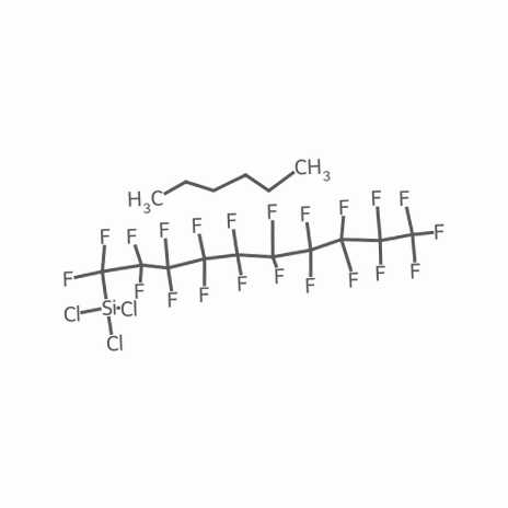 CCCCCC.FC(F)(F)C(F)(F)C(F)(F)C(F)(F)C(F)(F)C(F)(F)C(F)(F)C(F)(F)C(F)(F)C(F)(F)[Si](Cl)(Cl)Cl